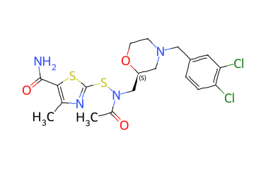 CC(=O)N(C[C@@H]1CN(Cc2ccc(Cl)c(Cl)c2)CCO1)Sc1nc(C)c(C(N)=O)s1